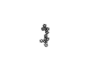 c1ccc(-c2cc(-c3ccccc3)nc(-c3cccc4c3oc3ccc(-c5ccc6c(c5)sc5c(-n7c8ccccc8c8ccccc87)cccc56)cc34)n2)cc1